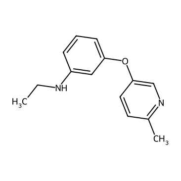 CCNc1cccc(Oc2ccc(C)nc2)c1